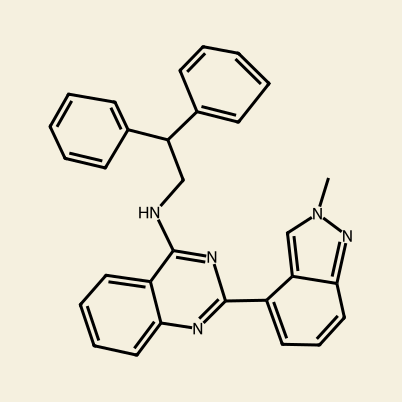 Cn1cc2c(-c3nc(NCC(c4ccccc4)c4ccccc4)c4ccccc4n3)cccc2n1